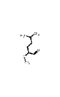 COC(C=O)CCC(C)C